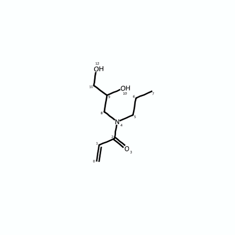 C=CC(=O)N(CCC)CC(O)CO